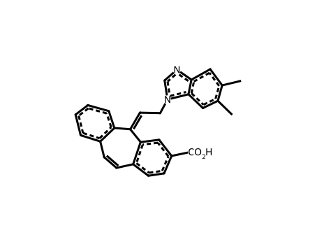 Cc1cc2ncn(CC=C3c4ccccc4C=Cc4ccc(C(=O)O)cc43)c2cc1C